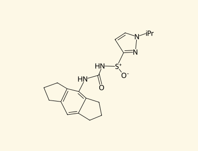 CC(C)n1ccc([S+]([O-])NC(=O)Nc2c3c(cc4c2CCC4)CCC3)n1